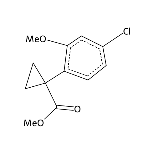 COC(=O)C1(c2ccc(Cl)cc2OC)CC1